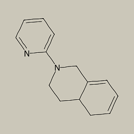 C1=CCC2CCN(c3ccccn3)CC2=C1